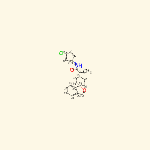 CC(C(=O)Nc1ccc(Cl)cc1)[C@H]1CC[C@]2(CC1)OCc1ccccc12